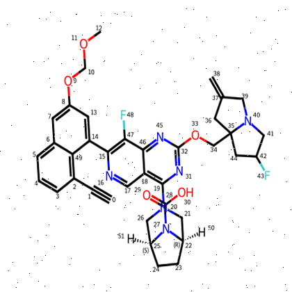 C#Cc1cccc2cc(OCOC)cc(-c3ncc4c(N5C[C@H]6CC[C@@H](C5)N6C(=O)O)nc(OCC56CC(=C)CN5CC(F)C6)nc4c3F)c12